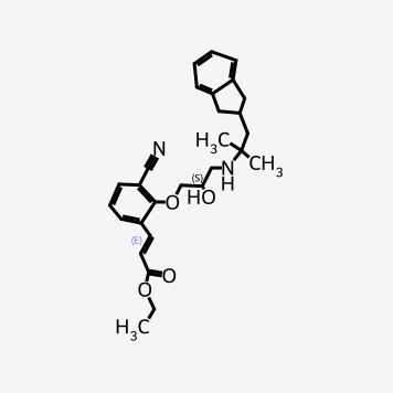 CCOC(=O)/C=C/c1cccc(C#N)c1OC[C@@H](O)CNC(C)(C)CC1Cc2ccccc2C1